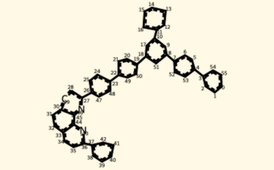 c1ccc(-c2ccc(-c3cc(-c4ccccc4)cc(-c4ccc(-c5ccc(-c6ccc7ccc8ccc(-c9ccccc9)nc8c7n6)cc5)cc4)c3)cc2)cc1